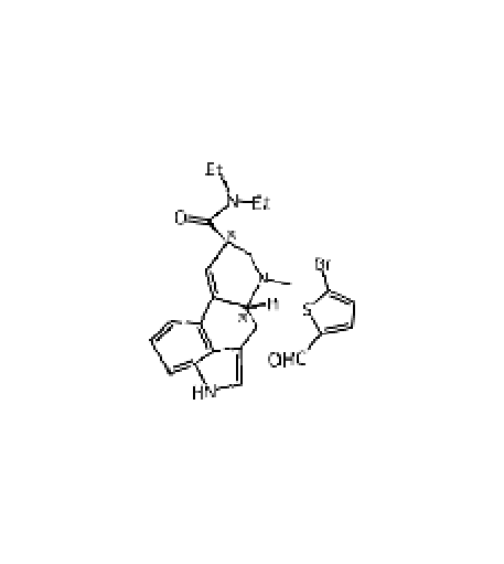 CCN(CC)C(=O)[C@@H]1C=C2c3cccc4[nH]cc(c34)C[C@H]2N(C)C1.O=Cc1ccc(Br)s1